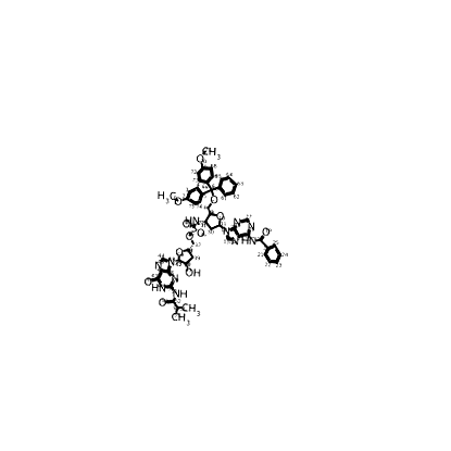 COc1ccc(C(OC[C@H]2OC(n3cnc4c(NC(=O)c5ccccc5)ncnc43)C[C@@H]2NS(=O)(=O)OC[C@@H]2C[C@@H](O)[C@H](n3cnc4c(=O)[nH]c(NC(=O)C(C)C)nc43)O2)(c2ccccc2)c2ccc(OC)cc2)cc1